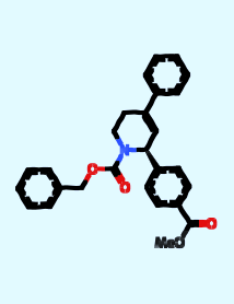 COC(=O)c1ccc([C@@H]2C=C(c3ccccc3)CCN2C(=O)OCc2ccccc2)cc1